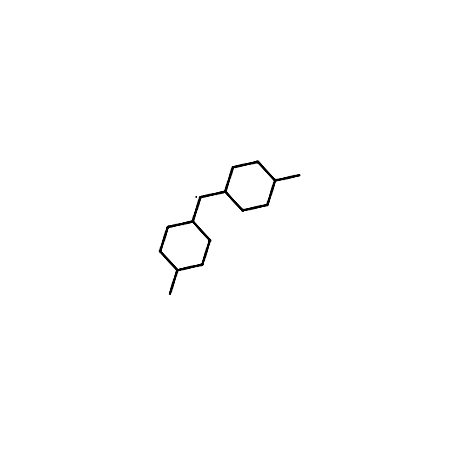 CC1CCC([CH]C2CCC(C)CC2)CC1